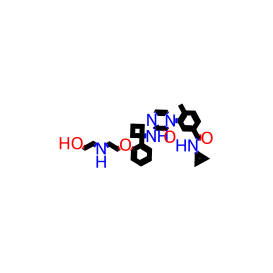 Cc1ccc(C(=O)NC2CC2)cc1-n1ccnc(NC2(c3ccccc3OCCNCCO)CCC2)c1=O